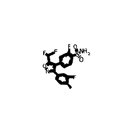 Cc1ccc(-c2noc(C(F)F)c2-c2ccc(S(N)(=O)=O)c(F)c2)cc1F